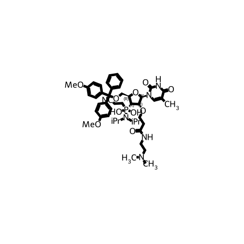 COc1ccc(C(OC[C@H]2O[C@@H](n3cc(C)c(=O)[nH]c3=O)[C@@H](OCCC(=O)NCCN(C)C)[C@@H]2P(O)(O)(CCC#N)N(C(C)C)C(C)C)(c2ccccc2)c2ccc(OC)cc2)cc1